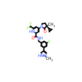 CN1C=C(c2cc(F)cc(CNC(=O)C3C=C(N4CC[C@@](C)(C5CC5)C4=O)C=C(C(F)F)N3)c2)CN1